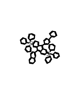 c1ccc(-c2ccc(-c3c4ccc([Si](c5ccccc5)(c5ccccc5)c5ccccc5)cc4c(-c4ccc5ccccc5c4)c4ccc([Si](c5ccccc5)(c5ccccc5)c5ccccc5)cc34)cc2)cc1